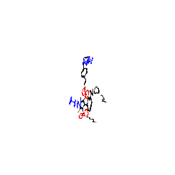 CC=CC=CCOC(=O)C1=C(C)NC(C)=C(C(=O)OCC=Cc2ccc(Cn3ccnc3)cc2)C1c1cccc([N+](=O)[O-])c1